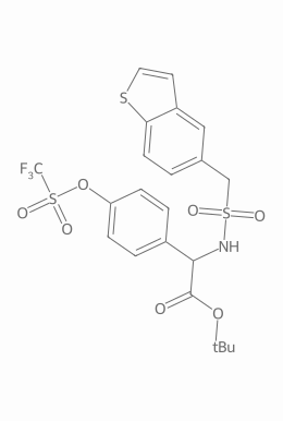 CC(C)(C)OC(=O)C(NS(=O)(=O)Cc1ccc2sccc2c1)c1ccc(OS(=O)(=O)C(F)(F)F)cc1